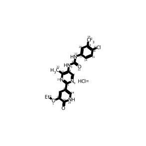 CCOc1cc(-c2ncc(NC(=O)Nc3ccc(Cl)c(C(F)(F)F)c3)c(C)n2)c[nH]c1=O.Cl